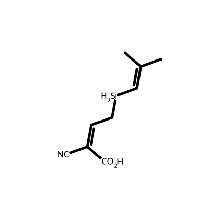 CC(C)=C[SiH2]CC=C(C#N)C(=O)O